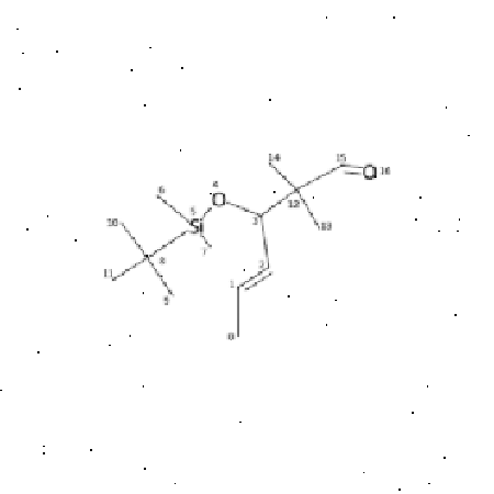 C/C=C/C(O[Si](C)(C)C(C)(C)C)C(C)(C)C=O